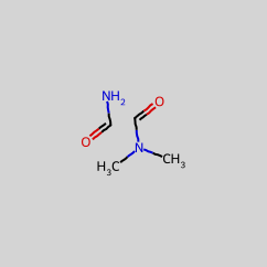 CN(C)C=O.NC=O